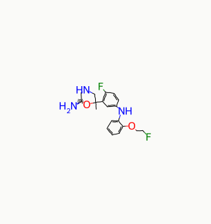 CC1(c2cc(Nc3ccccc3OCCF)ccc2F)CNC[C@H](N)O1